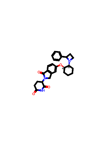 O=C1CCC(N2Cc3cc(O[C@@H]4CCCC[C@@H]4N4CCC4c4ccccc4)ccc3C2=O)C(=O)N1